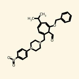 CC(C)C1=CC=C(CN2CCN(c3ccc([N+](=O)[O-])cc3)CC2)C(C=O)C(OCc2ccccc2)=C1